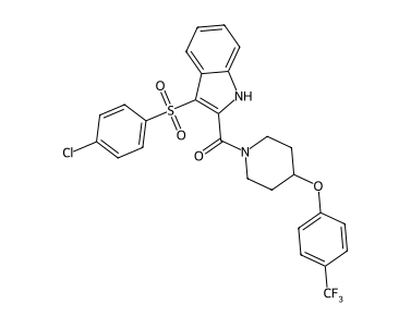 O=C(c1[nH]c2ccccc2c1S(=O)(=O)c1ccc(Cl)cc1)N1CCC(Oc2ccc(C(F)(F)F)cc2)CC1